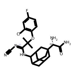 CC(C)(Oc1ccc(F)cc1Cl)/C(=N/C#N)NC1C2CC3CC1CC([C@H](N)C(N)=O)(C3)C2